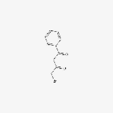 O=C(CBr)CC(=O)c1ccccc1